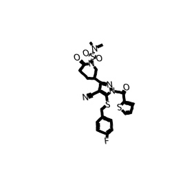 CN(C)S(=O)(=O)N1CC(c2nn(C(=O)c3cccs3)c(SCc3ccc(F)cc3)c2C#N)CCC1=O